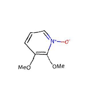 COc1ccc[n+]([O-])c1OC